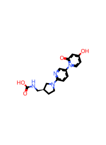 O=C(O)NC[C@@H]1CCN(c2ccc(-n3ccc(O)cc3=O)cn2)C1